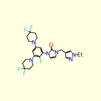 CCn1cc(Cn2ccn(-c3cc(N4CCC(F)(F)CC4)cc(N4CCC(F)(F)CC4)c3F)c2=O)cn1